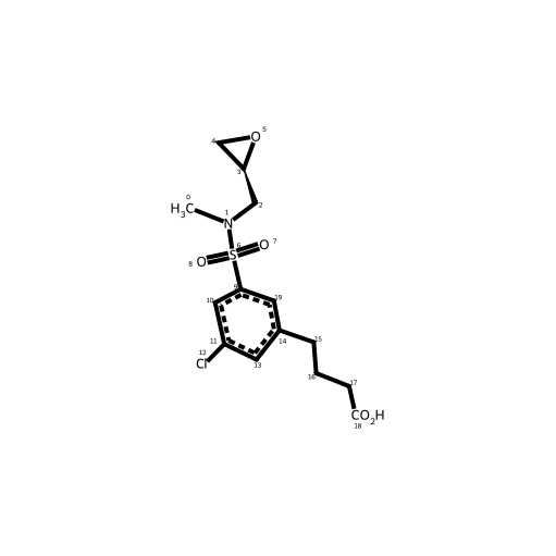 CN(C[C@H]1CO1)S(=O)(=O)c1cc(Cl)cc(CCCC(=O)O)c1